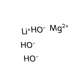 [Li+].[Mg+2].[OH-].[OH-].[OH-]